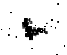 COc1ccc2[nH]c(=O)n3nc(-c4cnn(C)c4)nc3c2c1